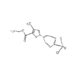 CCOC(=O)c1sc(-c2ccc(C(Cl)(Cl)Cl)cc2)nc1C